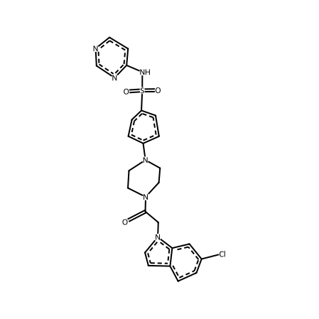 O=C(Cn1ccc2ccc(Cl)cc21)N1CCN(c2ccc(S(=O)(=O)Nc3ccncn3)cc2)CC1